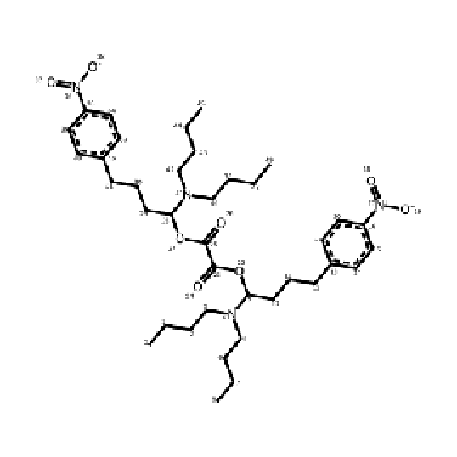 CCCCN(CCCC)C(CCCc1ccc([N+](=O)[O-])cc1)OC(=O)C(=O)OC(CCCc1ccc([N+](=O)[O-])cc1)N(CCCC)CCCC